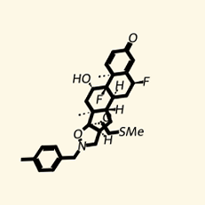 CSCC(=O)[C@@]12ON(Cc3ccc(C)cc3)C[C@@H]1C[C@H]1[C@@H]3C[C@H](F)C4=CC(=O)C=C[C@]4(C)[C@@]3(F)[C@@H](O)C[C@@]12C